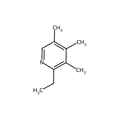 CCc1ncc(C)c(C)c1C